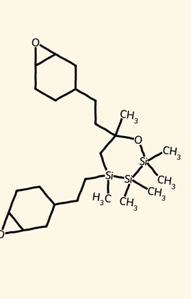 CC1(CCC2CCC3OC3C2)C[Si](C)(CCC2CCC3OC3C2)[Si](C)(C)[Si](C)(C)O1